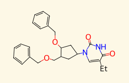 CCc1cn(C2CC(COCc3ccccc3)C(OCc3ccccc3)C2)c(=O)[nH]c1=O